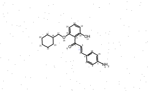 Nc1ccc(/C=C/C(=O)c2c(O)cccc2OCC2CCCCC2)cc1